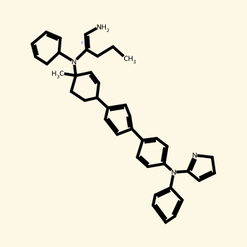 CCC/C(=C\N)N(C1C=CC=CC1)C1(C)C=CC(c2ccc(-c3ccc(N(C4=NCC=C4)c4ccccc4)cc3)cc2)CC1